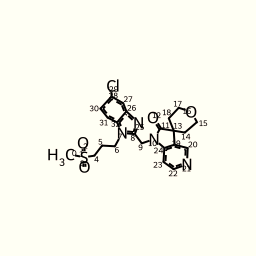 CS(=O)(=O)CCCn1c(CN2C(=O)C3(CCOCC3)c3cnccc32)nc2cc(Cl)ccc21